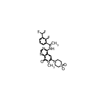 C[C@@H](Nc1ncnc2c(=O)n(C)c(N3CCS(=O)(=O)CC3)cc12)c1cccc(C(F)F)c1F